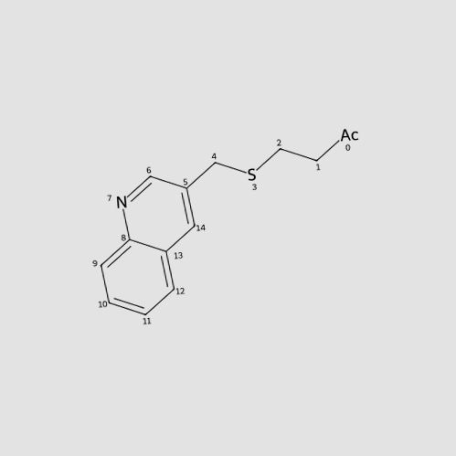 CC(=O)CCSCc1cnc2ccccc2c1